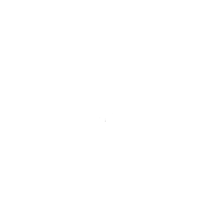 CCCCCCCCCC[Si](CC)(CCCCCCCCCC)CCCCCCCCCC